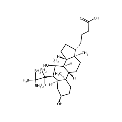 BC(B)(B)C(B)(B)[C@@H]1[C@@H]2C[C@H](O)CC[C@]2(C)[C@H]2CC[C@]3(C)[C@@H](CCCC(=O)O)CC[C@H]3[C@@H]2[C@]1(B)O